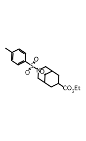 CCOC(=O)C1CC2CN(S(=O)(=O)c3ccc(C)cc3)CC(C1)C2=O